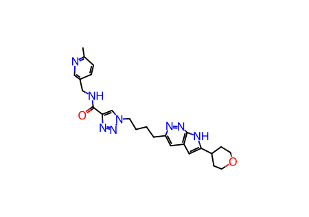 Cc1ccc(CNC(=O)c2cn(CCCCc3cc4cc(C5CCOCC5)[nH]c4nn3)nn2)cn1